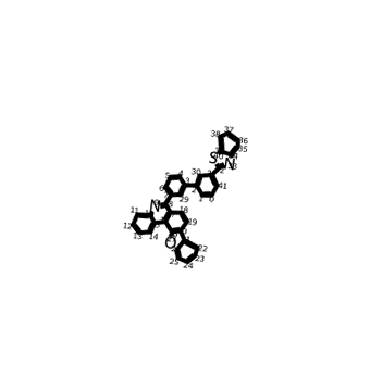 c1cc(-c2cccc(-c3nc4ccccc4c4c3ccc3c5ccccc5oc34)c2)cc(-c2nc3ccccc3s2)c1